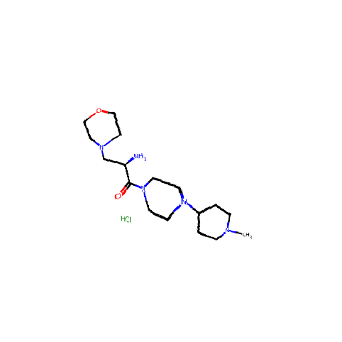 CN1CCC(N2CCN(C(=O)[C@H](N)CN3CCOCC3)CC2)CC1.Cl